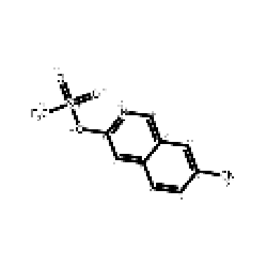 N#Cc1ccc2cc(OS(=O)(=O)C(F)(F)F)ncc2c1